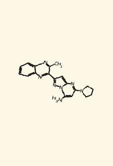 Cc1nc2ccccc2nc1-c1cc2nc(N3CCCC3)cc(N)n2n1